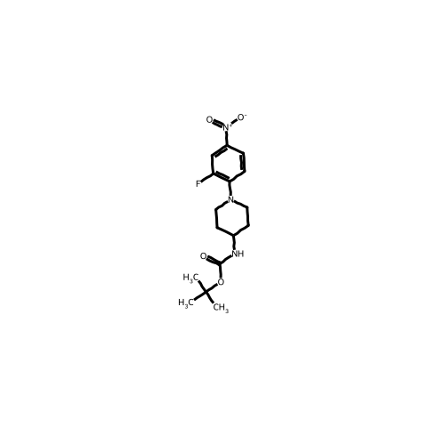 CC(C)(C)OC(=O)NC1CCN(c2ccc([N+](=O)[O-])cc2F)CC1